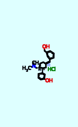 CN(C)C[C@@H]1CC/C(=C\c2cccc(CO)c2)C[C@H]1c1cccc(O)c1.Cl